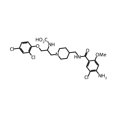 COc1cc(N)c(Cl)cc1C(=O)NCC1CCN(CC(COc2ccc(Cl)cc2Cl)NC(=O)O)CC1